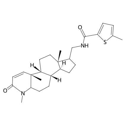 Cc1ccc(C(=O)NCC2CC[C@H]3[C@@H]4CCC5N(C)C(=O)C=C[C@]5(C)[C@@H]4CC[C@]23C)s1